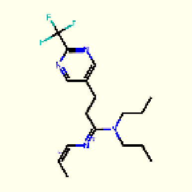 C/C=C\N=C(/CCc1cnc(C(F)(F)F)nc1)N(CCC)CCC